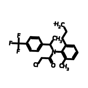 [CH2]CCc1cccc(C)c1N(C(=O)CCl)C(C)c1ccc(C(F)(F)F)cc1